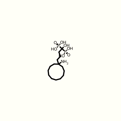 NC1(CCCC(O)(P(=O)(O)O)P(=O)(O)O)CCCCCCCCCC1